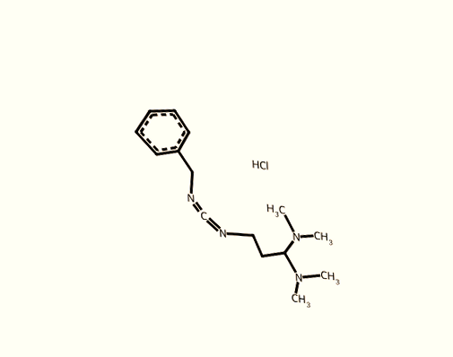 CN(C)C(CCN=C=NCc1ccccc1)N(C)C.Cl